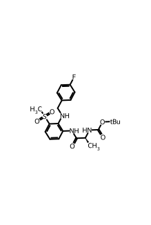 C[C@H](NC(=O)OC(C)(C)C)C(=O)Nc1cccc(S(C)(=O)=O)c1NCc1ccc(F)cc1